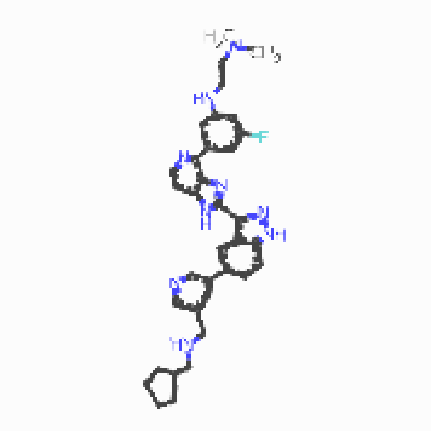 CN(C)CCNc1cc(F)cc(-c2nccc3[nH]c(-c4n[nH]c5ccc(-c6cncc(CNCC7CCCC7)c6)cc45)nc23)c1